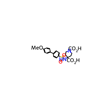 COc1ccc(-c2ccc(S(=O)(=O)NC3(C(=O)O)CCN(C(=O)O)CC3)cc2)cc1